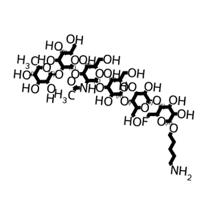 CC(=O)NC1C(O[C@@H]2OC(CO)[C@H](O)C(O)C2O[C@@H]2OC(C)[C@@H](O)C(O)C2O)[C@@H](O)C(CO)O[C@H]1OC1C(O)[C@@H](O[C@H]2C(CO)O[C@@H](O[C@@H]3C(CF)O[C@@H](OCCCCCN)C(O)C3O)C(O)C2O)OC(CO)[C@@H]1O